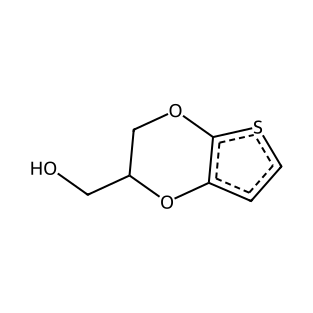 OCC1COc2sccc2O1